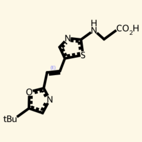 CC(C)(C)c1cnc(/C=C/c2cnc(NCC(=O)O)s2)o1